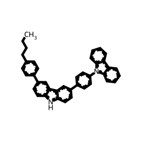 CCCCc1ccc(-c2ccc3[nH]c4ccc(-c5ccc(-n6c7ccccc7c7ccccc76)cc5)cc4c3c2)cc1